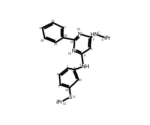 CC(C)Nc1cc(Nc2cccc(SC(C)C)c2)nc(-c2ccccc2)n1